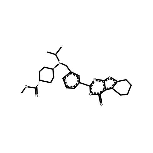 COC(=O)[C@H]1CC[C@H](N(Cc2cccc(-c3nc4sc5c(c4c(=O)o3)CCCC5)c2)C(C)C)CC1